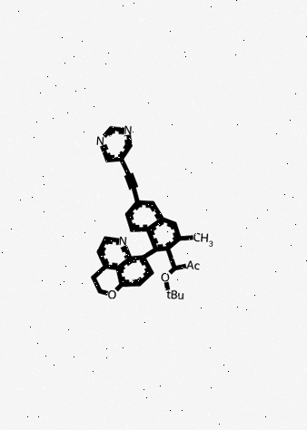 CC(=O)C(OC(C)(C)C)c1c(C)cc2cc(C#Cc3cncnc3)ccc2c1-c1ccc2c3c(ccnc13)CCO2